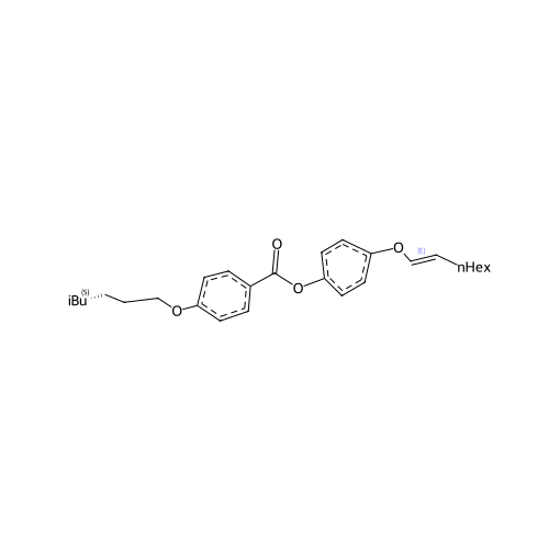 CCCCCC/C=C/Oc1ccc(OC(=O)c2ccc(OCCC[C@@H](C)CC)cc2)cc1